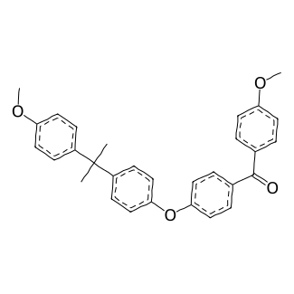 COc1ccc(C(=O)c2ccc(Oc3ccc(C(C)(C)c4ccc(OC)cc4)cc3)cc2)cc1